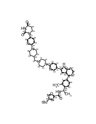 Cc1cc(-c2ncnc3[nH]c(-c4ccc(N5CCN(CC6CCN(c7ccc(N8CCC(=O)NC8=O)cn7)CC6)CC5)nc4)cc23)ccc1[C@@H](C)NC(=O)c1nc(C(C)(C)C)no1